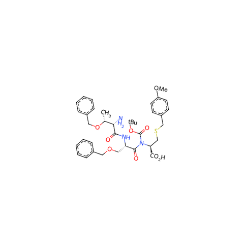 COc1ccc(CSC[C@@H](C(=O)O)N(C(=O)OC(C)(C)C)C(=O)[C@H](COCc2ccccc2)NC(=O)[C@@H](N)[C@@H](C)OCc2ccccc2)cc1